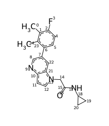 Cc1c(F)ccc(-c2cnc3ccn(CC(=O)NC4CC4)c3c2)c1C